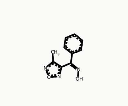 Cc1nonc1C(=NO)c1ccccc1